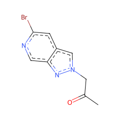 CC(=O)Cn1cc2cc(Br)ncc2n1